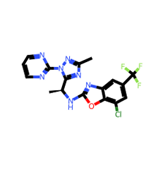 Cc1nc([C@H](C)Nc2nc3cc(C(F)(F)F)cc(Cl)c3o2)n(-c2ncccn2)n1